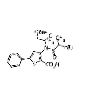 CCCCC(C)C(=O)N(c1cc(-c2ccccc2)sc1C(=O)O)C(C)COC